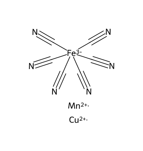 N#[C][Fe-3]([C]#N)([C]#N)([C]#N)([C]#N)[C]#N.[Cu+2].[Mn+2]